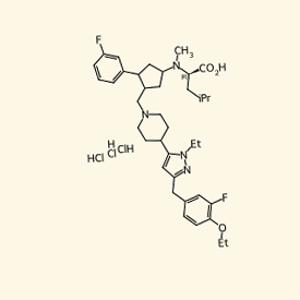 CCOc1ccc(Cc2cc(C3CCN(CC4CC(N(C)[C@H](CC(C)C)C(=O)O)CC4c4cccc(F)c4)CC3)n(CC)n2)cc1F.Cl.Cl.Cl